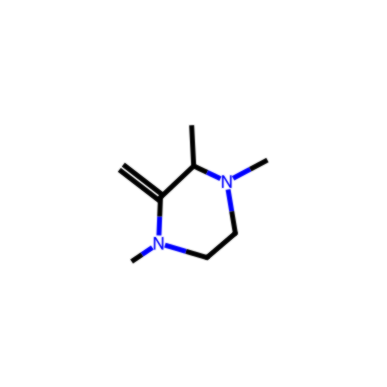 C=C1C(C)N(C)CCN1C